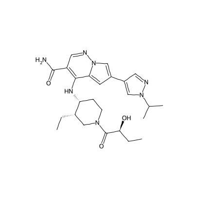 CC[C@H]1CN(C(=O)[C@@H](O)CC)CC[C@H]1Nc1c(C(N)=O)cnn2cc(-c3cnn(C(C)C)c3)cc12